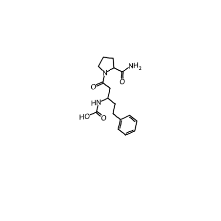 NC(=O)C1CCCN1C(=O)CC(CCc1ccccc1)NC(=O)O